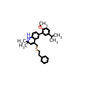 COc1ccc(C(C)C)cc1-c1ccc2c(c1)C(CSCCc1ccccc1)=CC(C)(C)N2